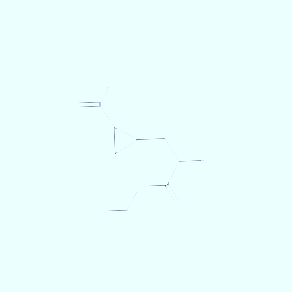 CC(=O)C1CC1CC(C)C(=O)OCS